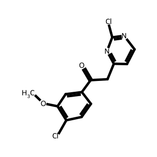 COc1cc(C(=O)Cc2ccnc(Cl)n2)ccc1Cl